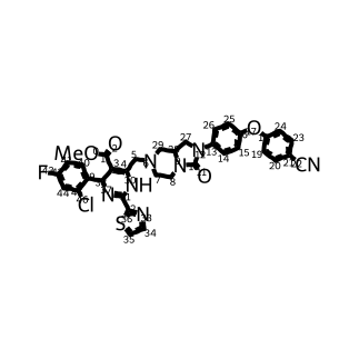 COC(=O)C1=C(CN2CCN3C(=O)N(c4ccc(Oc5ccc(C#N)cc5)cc4)CC3C2)NC(c2nccs2)=NC1c1ccc(F)cc1Cl